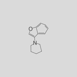 c1ccc2c(N3CCCCC3)coc2c1